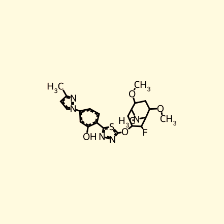 COC1CC(OC)C2C(F)C(Oc3nnc(-c4ccc(-n5ccc(C)n5)cc4O)s3)CC1N2C